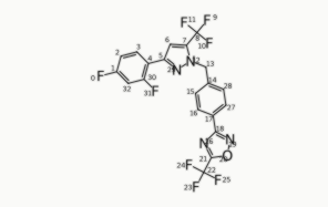 Fc1ccc(-c2cc(C(F)(F)F)n(Cc3ccc(-c4noc(C(F)(F)F)n4)cc3)n2)c(F)c1